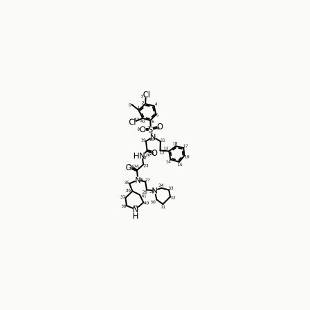 Cc1c(Cl)ccc(S(=O)(=O)N(CCc2ccccc2)CC(=O)NCC(=O)N(CCN2CCCCC2)CC2CCNCC2)c1Cl